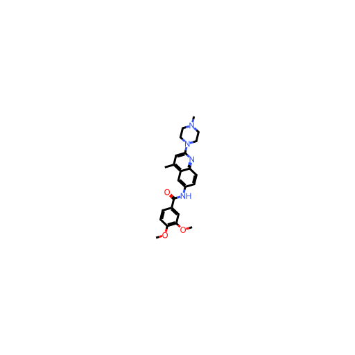 COc1ccc(C(=O)Nc2ccc3nc(N4CCN(C)CC4)cc(C)c3c2)cc1OC